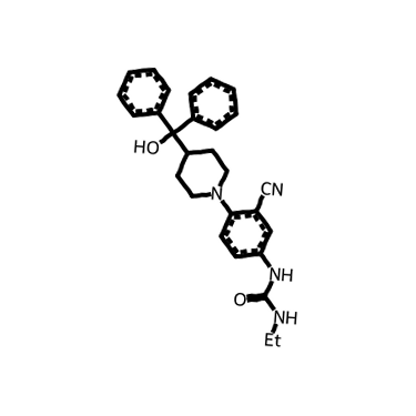 CCNC(=O)Nc1ccc(N2CCC(C(O)(c3ccccc3)c3ccccc3)CC2)c(C#N)c1